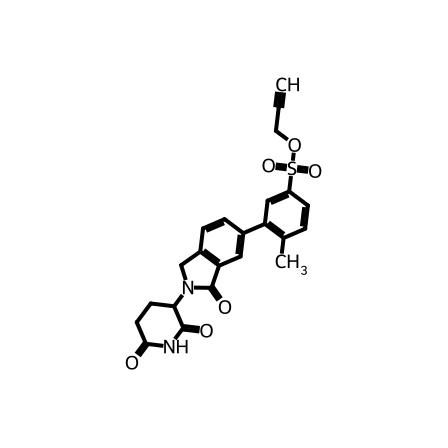 C#CCOS(=O)(=O)c1ccc(C)c(-c2ccc3c(c2)C(=O)N(C2CCC(=O)NC2=O)C3)c1